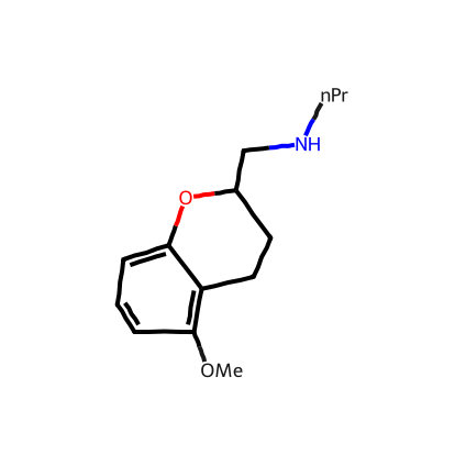 CCCNCC1CCc2c(OC)cccc2O1